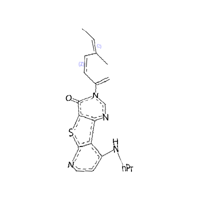 C=C(/C=C\C(C)=C/C)n1cnc2c(sc3nccc(NCCC)c32)c1=O